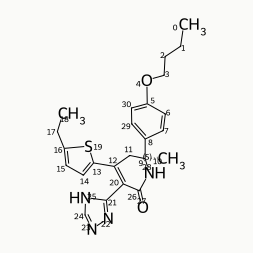 CCCCOc1ccc([C@]2(C)CC(c3ccc(CC)s3)=C(c3nnc[nH]3)C(=O)N2)cc1